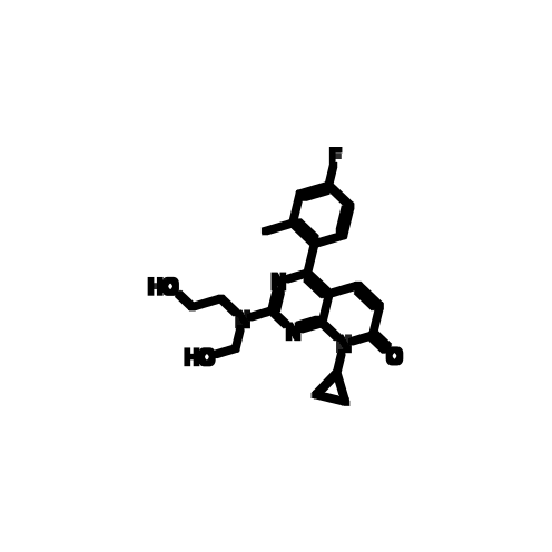 Cc1cc(F)ccc1-c1nc(N(CO)CCO)nc2c1ccc(=O)n2C1CC1